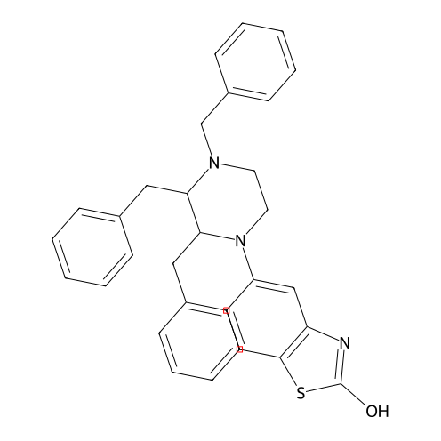 Oc1nc2cc(N3CCN(Cc4ccccc4)C(Cc4ccccc4)C3Cc3ccccc3)ccc2s1